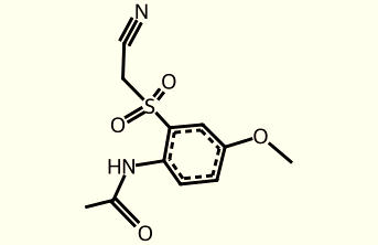 COc1ccc(NC(C)=O)c(S(=O)(=O)CC#N)c1